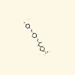 CCCCN(CCCC)c1ccc2c(C)c(/C=C/c3ccc(/C=C/c4ccc(C(=O)OC)cc4)cc3)c(=O)oc2c1